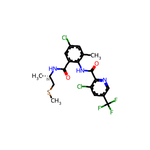 CSC[C@H](C)NC(=O)c1cc(Cl)cc(C)c1NC(=O)c1ncc(C(F)(F)F)cc1Cl